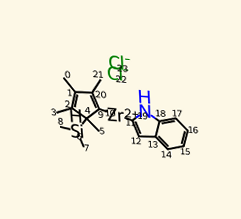 CC1=C(C)C(C)([SiH](C)C)[C]([Zr+2][c]2cc3ccccc3[nH]2)=C1C.[Cl-].[Cl-]